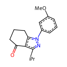 COc1cccc(-n2nc(C(C)C)c3c2CCCC3=O)c1